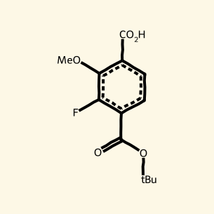 COc1c(C(=O)O)ccc(C(=O)OC(C)(C)C)c1F